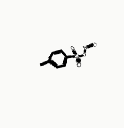 Cc1ccc(S(=O)(=O)ON=O)cc1